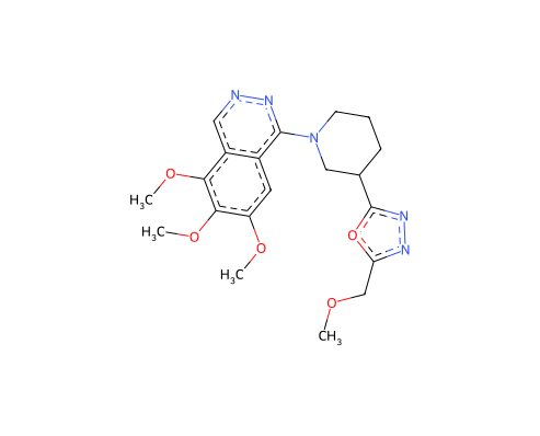 COCc1nnc(C2CCCN(c3nncc4c(OC)c(OC)c(OC)cc34)C2)o1